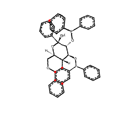 O[C@]1(c2ccccc2)O[C@@H]2CO[C@@H](c3ccccc3)O[C@H]2[C@H](OP(c2ccccc2)c2ccccc2)[C@H]1OP(c1ccccc1)c1ccccc1